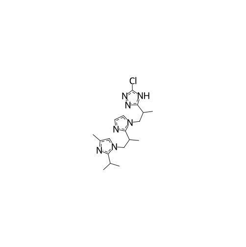 Cc1cn(CC(C)c2nccn2CC(C)c2nnc(Cl)[nH]2)c(C(C)C)n1